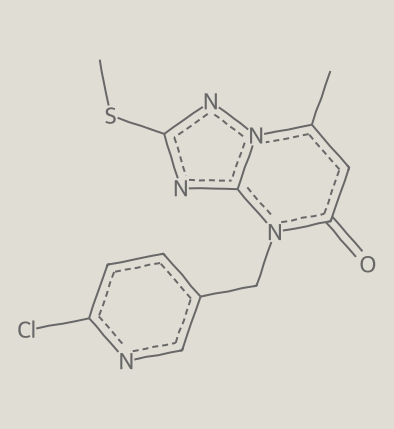 CSc1nc2n(Cc3ccc(Cl)nc3)c(=O)cc(C)n2n1